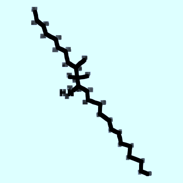 CCCCCCCCCCCCCC(N)C(C)(C)C(C)CCCCCCCC